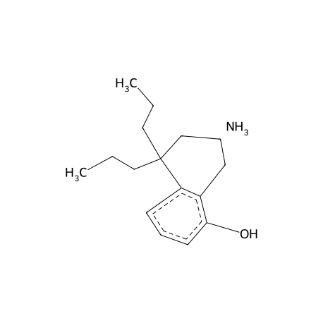 CCCC1(CCC)CCCc2c(O)cccc21.N